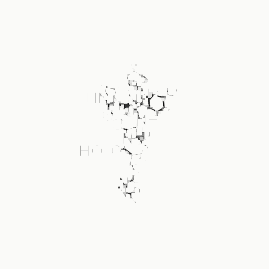 Cc1nnc(SCC2=C(C(=O)O)N3C(=O)C(NC(=O)C4(NC(=O)N5CCNC5=O)c5ccc(O)c(c5)N4C4SCCS4)[C@@H]3SC2)s1